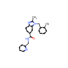 Cc1nc2ccc(C(=O)NCc3ccccn3)cc2n1Cc1ccccc1C#N